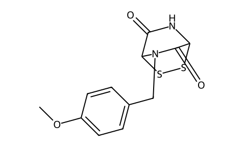 COc1ccc(CN2C(=O)C3NC(=O)C2SS3)cc1